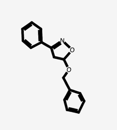 c1ccc(COC2CC(c3ccccc3)=NO2)cc1